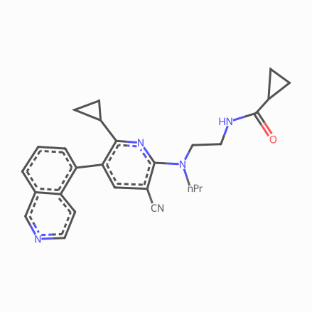 CCCN(CCNC(=O)C1CC1)c1nc(C2CC2)c(-c2cccc3cnccc23)cc1C#N